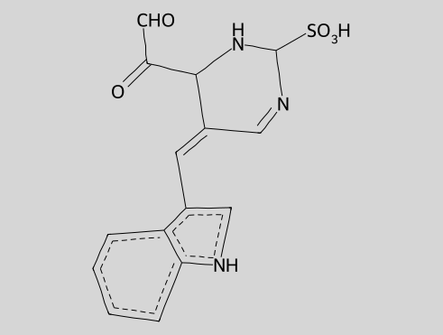 O=CC(=O)C1NC(S(=O)(=O)O)N=CC1=Cc1c[nH]c2ccccc12